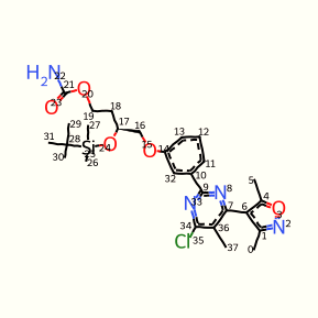 Cc1noc(C)c1-c1nc(-c2cccc(OC[C@H](CCOC(N)=O)O[Si](C)(C)C(C)(C)C)c2)nc(Cl)c1C